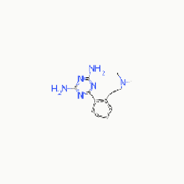 CN(C)CCc1ccccc1-c1nc(N)nc(N)n1